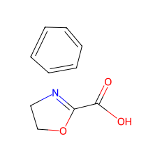 O=C(O)C1=NCCO1.c1ccccc1